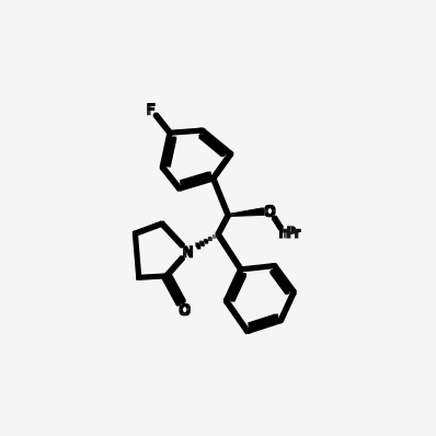 CCCO[C@H](c1ccc(F)cc1)[C@H](c1ccccc1)N1CCCC1=O